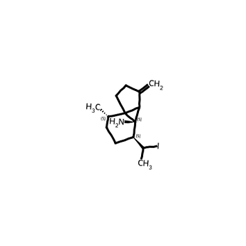 C=C1CCC23C1[C@]2(N)[C@@H](C(C)I)CC[C@@H]3C